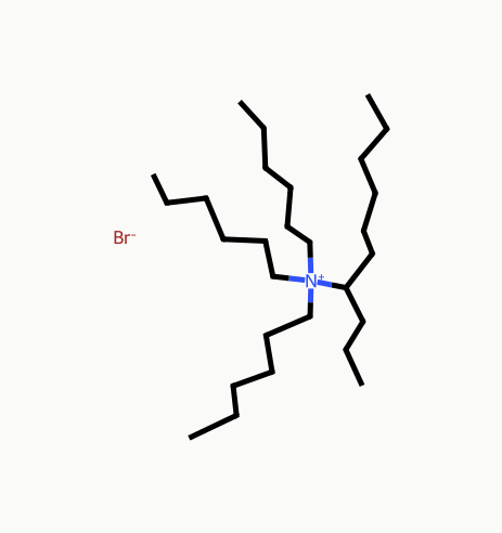 CCCCCCC(CCC)[N+](CCCCCC)(CCCCCC)CCCCCC.[Br-]